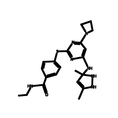 CCNC(=O)c1ccc(Sc2nc(NC3(C)C=C(C)NN3)cc(N3CCC3)n2)cc1